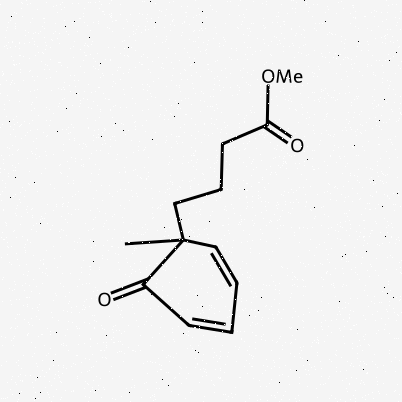 COC(=O)CCCC1(C)C=CC=CC1=O